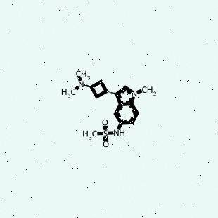 Cn1cc([C@H]2C[C@H](N(C)C)C2)c2cc(NS(C)(=O)=O)ccc21